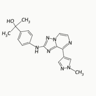 Cn1cc(-c2nccn3nc(Nc4ccc(C(C)(C)O)cc4)nc23)cn1